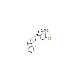 CCN(c1ccc(Cl)cc1OC)C1CCC(c2ccccc2C)(N(C)C)CC1